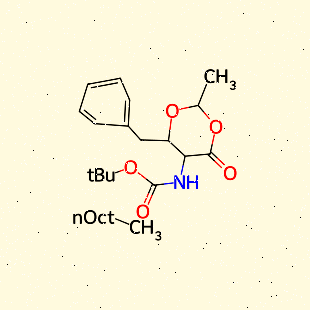 CC1OC(=O)C(NC(=O)OC(C)(C)C)C(Cc2ccccc2)O1.CCCCCCCCC